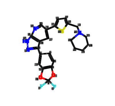 FC1(F)Oc2ccc(-c3n[nH]c4ncc(-c5ccc(CN6CCCCC6)s5)cc34)cc2O1